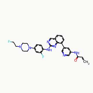 C=CC(=O)Nc1cncc(-c2cccc3cnc(Nc4ccc(N5CCN(CCF)CC5)cc4F)nc23)c1